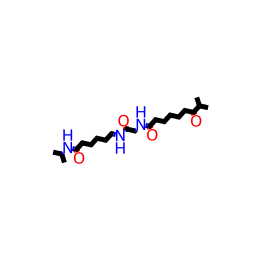 CC(C)NC(=O)CCCCCNC(=O)CNC(=O)CCCCCC(=O)C(C)C